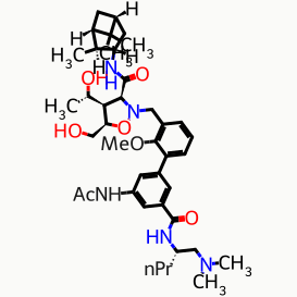 CCC[C@@H](CN(C)C)NC(=O)c1cc(NC(C)=O)cc(-c2cccc(CN3O[C@@H](CO)[C@@H]([C@H](C)O)[C@H]3C(=O)N[C@H]3C[C@H]4C[C@@H]([C@@H]3C)C4(C)C)c2OC)c1